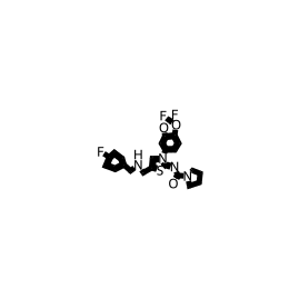 O=C(/N=c1\sc(CNCc2ccc(F)cc2)cn1-c1ccc2c(c1)OC(F)(F)O2)N1CCCC1